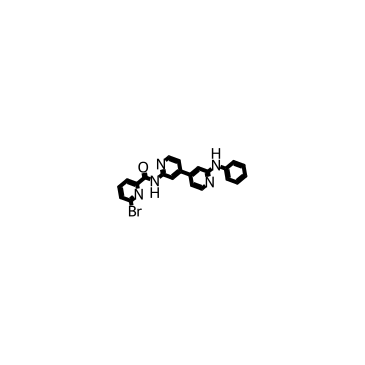 O=C(Nc1cc(-c2ccnc(Nc3ccccc3)c2)ccn1)c1cccc(Br)n1